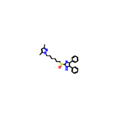 Cc1cc(C)n(CCCCCC[S+]([O-])c2nc(-c3ccccc3)c(-c3ccccc3)[nH]2)n1